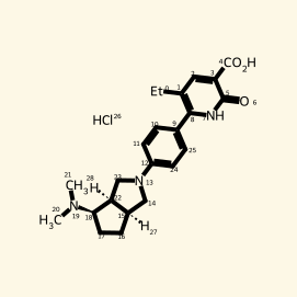 CCc1cc(C(=O)O)c(=O)[nH]c1-c1ccc(N2C[C@H]3CC[C@@H](N(C)C)[C@H]3C2)cc1.Cl